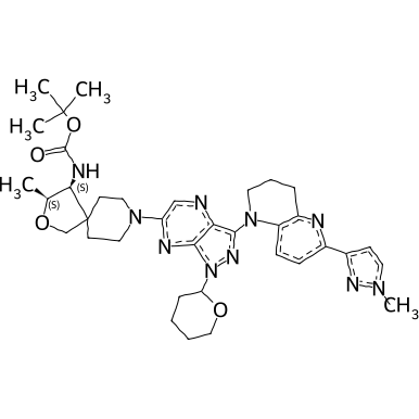 C[C@@H]1OCC2(CCN(c3cnc4c(N5CCCc6nc(-c7ccn(C)n7)ccc65)nn(C5CCCCO5)c4n3)CC2)[C@@H]1NC(=O)OC(C)(C)C